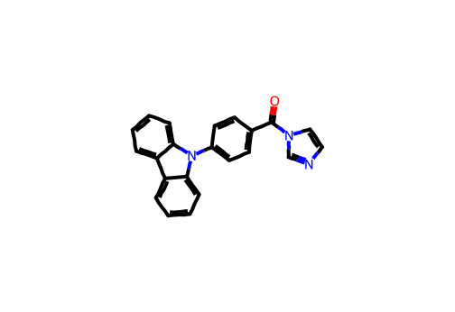 O=C(c1ccc(-n2c3ccccc3c3ccccc32)cc1)n1ccnc1